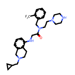 O=C(CNc1cccc2c1CCN(CC1CC1)C2)N(CCN1CCNCC1)Cc1ccccc1C(F)(F)F